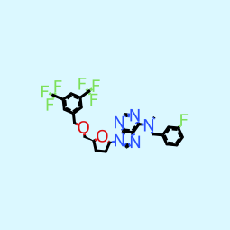 CN(Cc1cccc(F)c1)c1ncnc2c1ncn2[C@H]1CC[C@@H](COCc2cc(C(F)(F)F)cc(C(F)(F)F)c2)O1